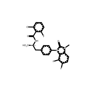 Cn1c(=O)n(-c2ccc(C[C@H](NC(=O)c3c(F)cccc3Cl)C(=O)O)cc2)c2c(F)c(F)ccc21